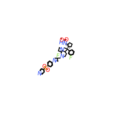 COC(=O)N[C@H]1CCC[C@@H]1C(CN1CCC1)(c1cccc(F)c1)C1CCN(CC2(F)CN(c3ccc(S(=O)(=O)c4ccncc4)cc3)C2)CC1